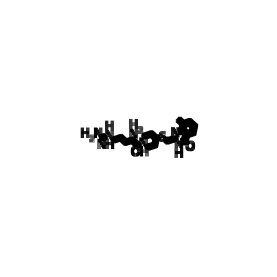 Cc1cccc2c(=O)[nH]c(CSC3CCN(C(O)[C@H](N)CCCNC(=N)N)CC3)nc12